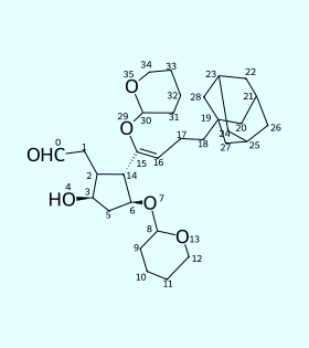 O=CCC1[C@H](O)C[C@H](OC2CCCCO2)[C@H]1C(=CCCC12CC3CC(CC(C3)C1)C2)OC1CCCCO1